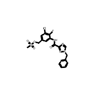 CS(=O)(=O)OCc1cc(Cl)c(F)c(NC(=O)c2ncn(Cc3ccccc3)n2)c1